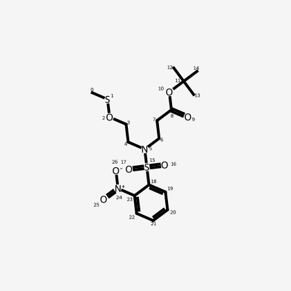 CSOCCN(CCC(=O)OC(C)(C)C)S(=O)(=O)c1ccccc1[N+](=O)[O-]